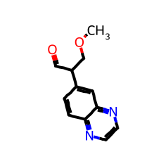 COCC(C=O)c1ccc2nccnc2c1